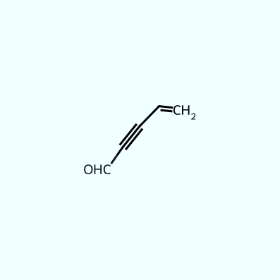 C=CC#CC=O